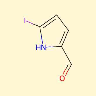 O=Cc1ccc(I)[nH]1